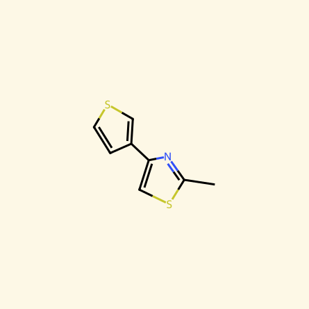 Cc1nc(-c2ccsc2)cs1